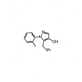 Cc1ccccc1-n1ncc(O)c1CC(C)C